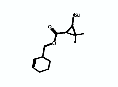 CCC(C)C1C(C(=O)OCC2C=CCCC2)C1(C)C